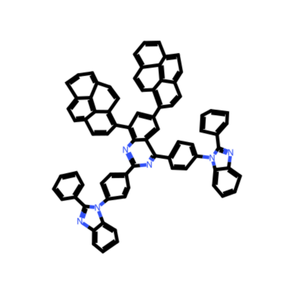 c1ccc(-c2nc3ccccc3n2-c2ccc(-c3nc(-c4ccc(-n5c(-c6ccccc6)nc6ccccc65)cc4)c4cc(-c5ccc6ccc7cccc8ccc5c6c78)cc(-c5ccc6ccc7cccc8ccc5c6c78)c4n3)cc2)cc1